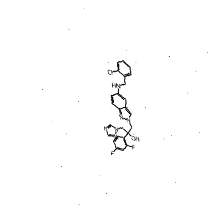 OC(Cn1cncn1)(Cn1cc2cc(NCc3ccccc3Cl)ccc2n1)c1ccc(F)cc1F